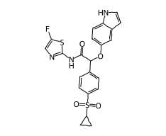 O=C(Nc1ncc(F)s1)C(Oc1ccc2[nH]ccc2c1)c1ccc(S(=O)(=O)C2CC2)cc1